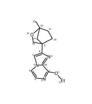 CCOc1nccn2cc(C34CCC(C)(C3)OC4)nc12